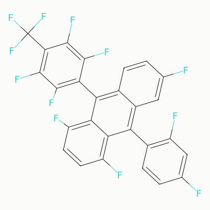 Fc1ccc(-c2c3cc(F)ccc3c(-c3c(F)c(F)c(C(F)(F)F)c(F)c3F)c3c(F)ccc(F)c23)c(F)c1